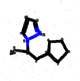 N#CC(CC1CCCC1)n1cccn1